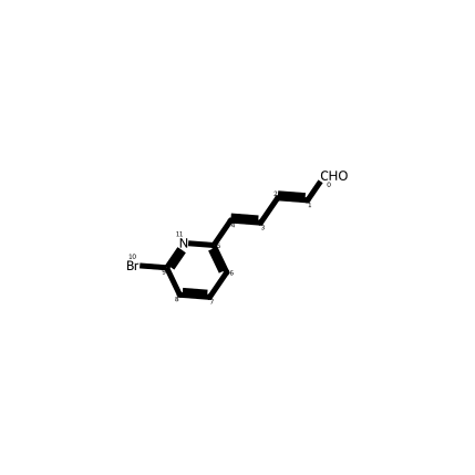 O=CC=CC=Cc1cccc(Br)n1